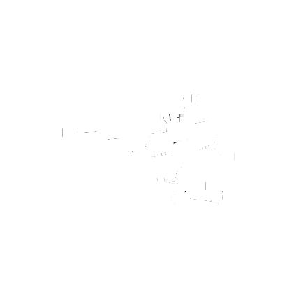 C=C(C)[C@@H]1CCC(C)=C[C@H]1c1c(O)cc(CCCCC)cc1OC(=O)C(C)(C)CC1CO1